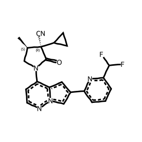 C[C@@H]1CN(c2ccnn3cc(-c4cccc(C(F)F)n4)cc23)C(=O)[C@]1(C#N)C1CC1